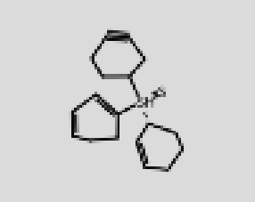 S=[SH](C1=CC=CCC1)(C1CC#CCC1)[C@H]1C=CCCC1